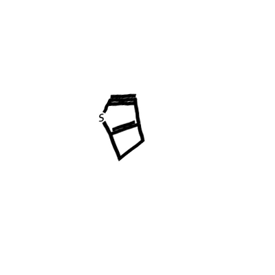 c1sc2c(c#1)CC2